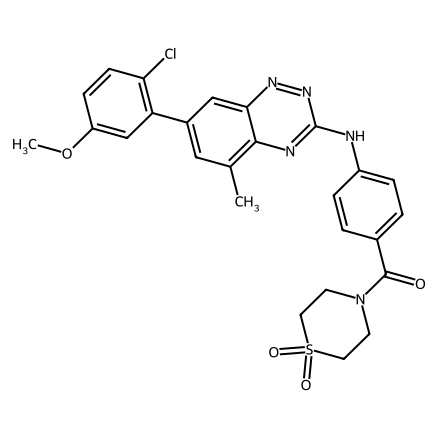 COc1ccc(Cl)c(-c2cc(C)c3nc(Nc4ccc(C(=O)N5CCS(=O)(=O)CC5)cc4)nnc3c2)c1